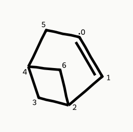 [C]1=CC2CC(C1)C2